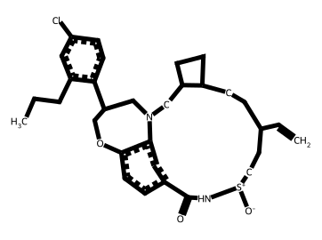 C=CC1CCC2CCC2CN2CC(c3ccc(Cl)cc3CCC)COc3ccc(cc32)C(=O)N[S+]([O-])CC1